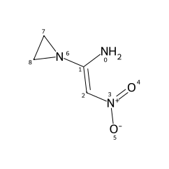 NC(=C[N+](=O)[O-])N1CC1